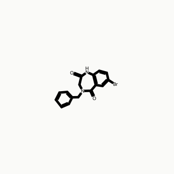 O=C1CN(Cc2ccccc2)C(=O)c2cc(Br)ccc2N1